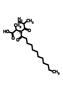 CCCCCCCCCCCC(=O)N(C(=O)C(C)N)C(C)C(=O)O